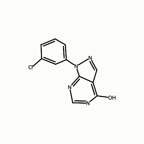 Oc1ncnc2c1cnn2-c1cccc(Cl)c1